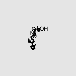 Cc1ccccc1-c1ccc(Cc2nc(C(=O)N3C[C@H](O)[C@@H]3C)co2)nc1